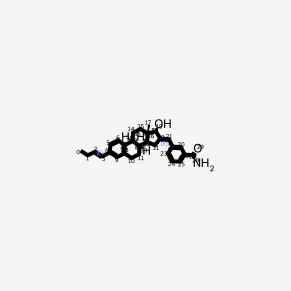 CC/C=C/c1ccc2c(c1)CC[C@@H]1[C@@H]2CC[C@]2(C)[C@@H](O)/C(=C/c3cccc(C(N)=O)c3)C[C@@H]12